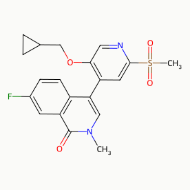 Cn1cc(-c2cc(S(C)(=O)=O)ncc2OCC2CC2)c2ccc(F)cc2c1=O